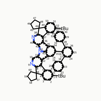 CC(C)(C)c1ccc2c(c1)-c1c(ncc3c1c1cc(-c4c(-c5ccccc5)cccc4-c4ccccc4)cc4c5c6c(ncc5n3c14)C1(CCCC1)c1ccc(C(C)(C)C)cc1-6)C21CCCC1